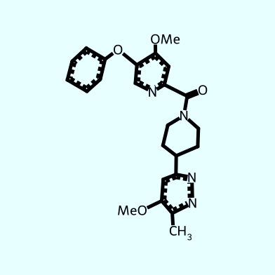 COc1cc(C(=O)N2CCC(c3cc(OC)c(C)nn3)CC2)ncc1Oc1ccccc1